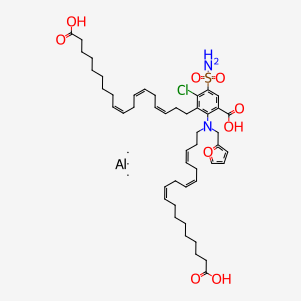 NS(=O)(=O)c1cc(C(=O)O)c(N(CC/C=C\C/C=C\C/C=C\CCCCCCCC(=O)O)Cc2ccco2)c(CC/C=C\C/C=C\C/C=C\CCCCCCCC(=O)O)c1Cl.[Al]